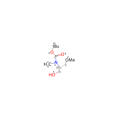 COC[C@H](CO)N(C)C(=O)OC(C)(C)C